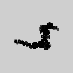 CCCCOCCOc1ccc(-c2ccc3c(c2)C=C(C(=O)Nc2ccc(C(O)c4cc(C)ccn4)c(C(F)(F)F)c2)CCN3C(=O)C(F)(F)F)cc1